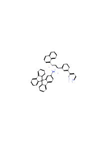 c1cncc(-c2cccc(-c3cc(-c4cccc5ccccc45)nc(-c4ccc5c(c4)C4(c6ccccc6-c6ccccc64)c4ccccc4-5)n3)c2)c1